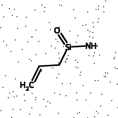 C=CC[Si]([NH])=O